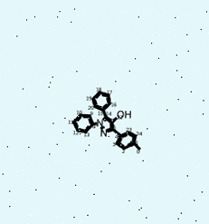 Cc1ccc(-c2nn(-c3ccccc3)c(-c3ccccc3)c2O)cc1